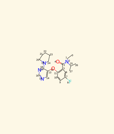 CCN(C(=O)c1cc(F)ccc1Oc1cncnc1N1CCCCC1)C(C)C